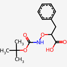 CC(C)(C)OC(=O)NOC(Cc1ccccc1)C(=O)O